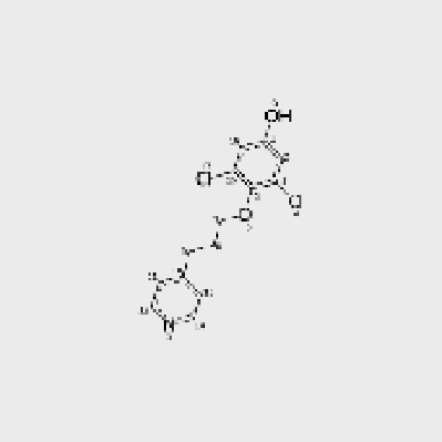 Oc1cc(Cl)c(OCCCc2ccncc2)c(Cl)c1